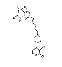 CC1(C)CC(=O)Nc2nc(OCCCCN3CCN(c4cccc(Cl)c4Cl)CC3)ccc21